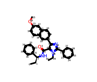 CC[C@H](NC(=O)c1c(-c2ccc3cc(OC)ccc3c2)nc(-c2ccccc2)n1CC)c1ccccc1